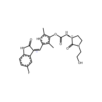 Cc1[nH]c(/C=C2\C(=O)Nc3ccc(F)cc32)c(C)c1OC(=O)N[C@H]1CCN(CCO)C1=O